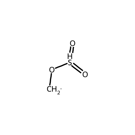 [CH2]O[SH](=O)=O